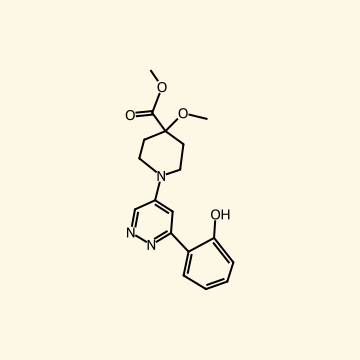 COC(=O)C1(OC)CCN(c2cnnc(-c3ccccc3O)c2)CC1